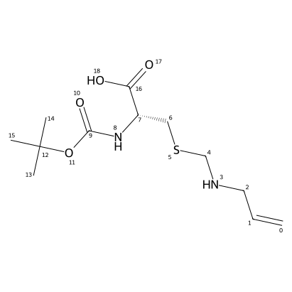 C=CCNCSC[C@H](NC(=O)OC(C)(C)C)C(=O)O